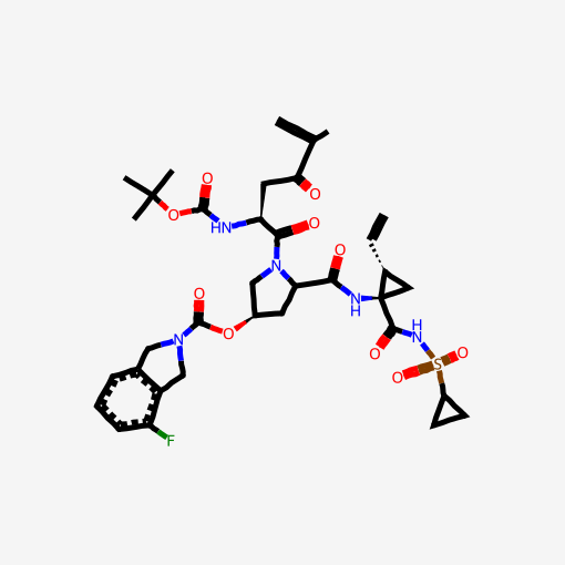 C=C[C@@H]1C[C@]1(NC(=O)C1C[C@@H](OC(=O)N2Cc3cccc(F)c3C2)CN1C(=O)[C@H](CC(=O)C(=C)C)NC(=O)OC(C)(C)C)C(=O)NS(=O)(=O)C1CC1